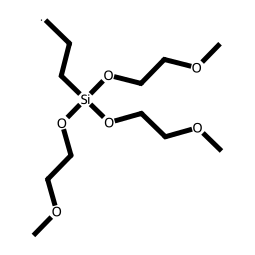 [CH2]CC[Si](OCCOC)(OCCOC)OCCOC